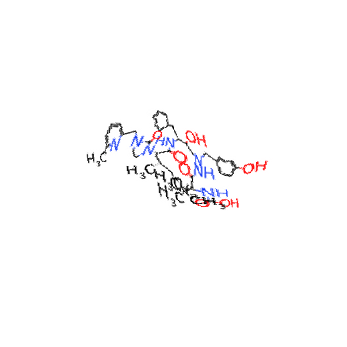 CC[C@H](C)[C@@H](C(=O)N[C@@H](Cc1ccccc1)[C@@H](O)CN(Cc1ccc(O)cc1)NC(=O)[C@@H](NC(=O)O)C(C)(C)C)N1CCN(Cc2cccc(C)n2)C1=O